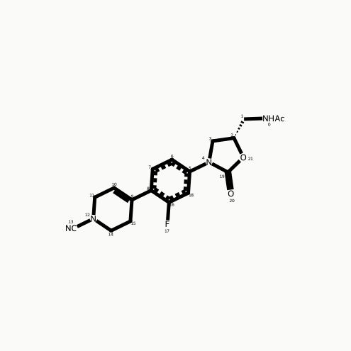 CC(=O)NC[C@H]1CN(c2ccc(C3=CCN(C#N)CC3)c(F)c2)C(=O)O1